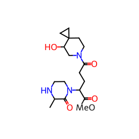 COC(=O)C(CCC(=O)N1CCC2(CC2)C(O)C1)N1CCNC(C)C1=O